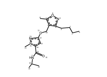 CCCCc1noc(C)c1COc1cc(C(=O)NC(C)C)n(C)n1